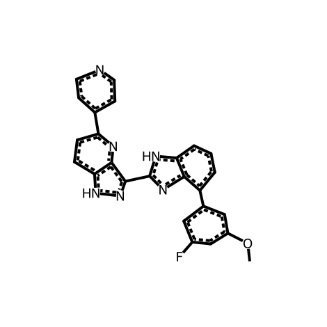 COc1cc(F)cc(-c2cccc3[nH]c(-c4n[nH]c5ccc(-c6ccncc6)nc45)nc23)c1